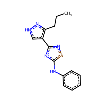 CCCc1n[nH]cc1-c1nsc(Nc2ccccc2)n1